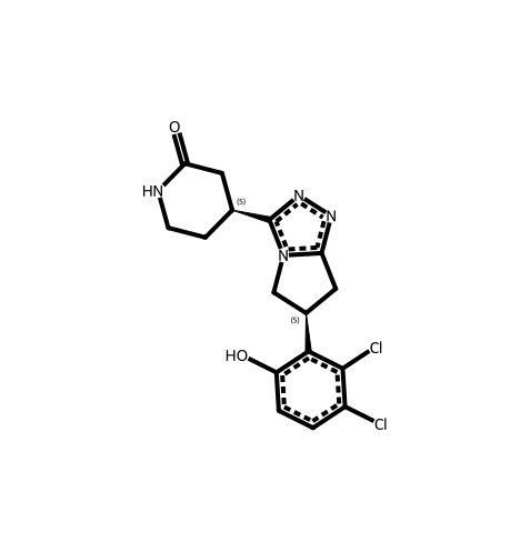 O=C1C[C@@H](c2nnc3n2C[C@H](c2c(O)ccc(Cl)c2Cl)C3)CCN1